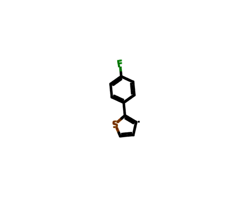 Fc1ccc(-c2[c]ccs2)cc1